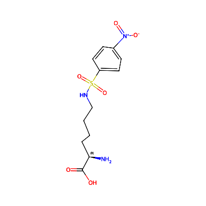 N[C@H](CCCCNS(=O)(=O)c1ccc([N+](=O)[O-])cc1)C(=O)O